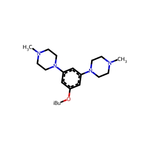 CCC(C)Oc1cc(N2CCN(C)CC2)cc(N2CCN(C)CC2)c1